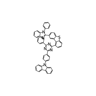 c1ccc(-c2nc(-c3ccc(-n4c5ccccc5c5ccccc54)cc3)nc(-c3cccc4sc5ccc(-c6nc7ccccc7n6-c6ccccc6)cc5c34)n2)cc1